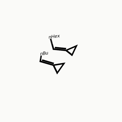 CCCCC=C1CC1.CCCCCCC=C1CC1